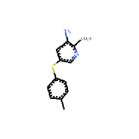 Cc1ccc(Sc2cnc(C(=O)O)c(N)c2)cc1